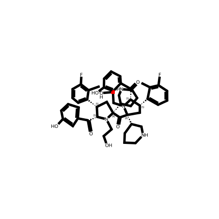 Cc1c(F)cccc1[C@@H]1C[C@](C(=O)[C@]2(C3CCCNC3)C[C@@H](c3cccc(F)c3C)[C@@H](C(=O)c3cccc(O)c3)N2CCO)(C2CCCNC2)N(CCO)[C@@H]1C(=O)c1cccc(O)c1